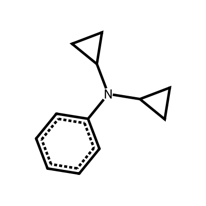 c1ccc(N(C2CC2)C2CC2)cc1